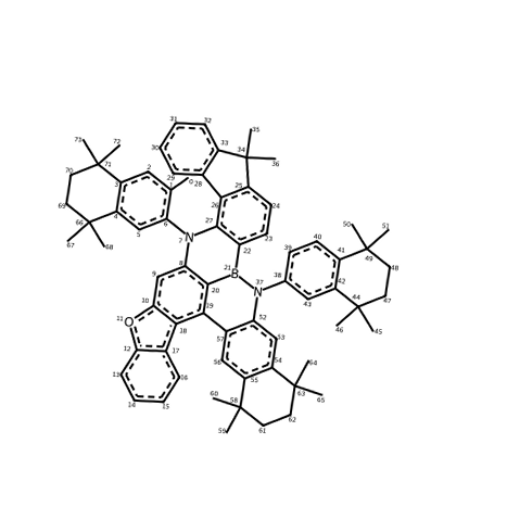 Cc1cc2c(cc1N1c3cc4oc5ccccc5c4c4c3B(c3ccc5c(c31)-c1ccccc1C5(C)C)N(c1ccc3c(c1)C(C)(C)CCC3(C)C)c1cc3c(cc1-4)C(C)(C)CCC3(C)C)C(C)(C)CCC2(C)C